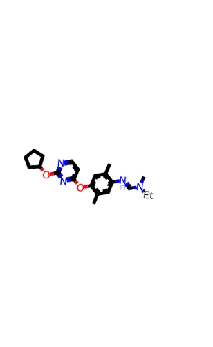 CCN(C)/C=N/c1cc(C)c(Oc2ccnc(OC3CCCC3)n2)cc1C